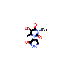 CCC(C)n1c(=O)[nH]c(C)c(Br)c1=O.O=c1cccn[nH]1